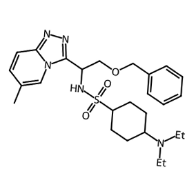 CCN(CC)C1CCC(S(=O)(=O)NC(COCc2ccccc2)c2nnc3ccc(C)cn23)CC1